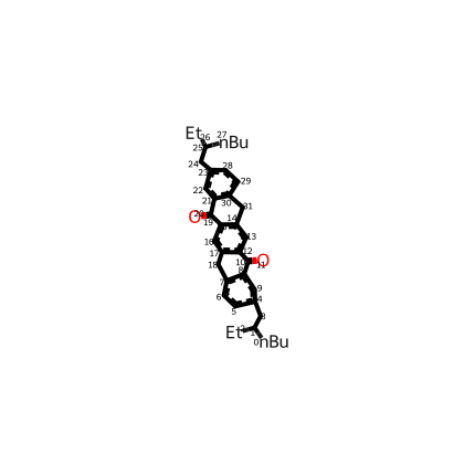 CCCCC(CC)Cc1ccc2c(c1)C(=O)c1cc3c(cc1C2)C(=O)c1cc(CC(CC)CCCC)ccc1C3